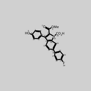 COC(=O)c1c(-c2ccc(O)cc2)c2ccc(-c3ccc(F)cc3)cc2n1C(=O)O